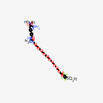 CCCN(OCC)C(=O)C1=Cc2ccc(-c3ccc(C(=O)N[C@H](C)C(=O)NCCOCCOCCOCCOCCOCCOCCOCCOCCOCCOCCC(=O)Oc4c(F)c(F)c(S(=O)(=O)O)c(F)c4F)cc3)cc2N=C(N)C1